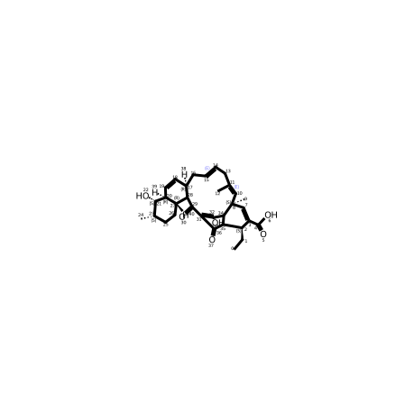 CC[C@@H]1C(C(=O)O)=C[C@]2(C)/C=C(\C)C/C=C/C[C@@H]3C=C[C@@H]4[C@@H](O)[C@@H](C)CC[C@H]4C3C(=O)C3=C(O)C2C1C3=O